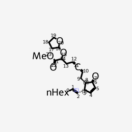 CCCCCC/C=C/[C@H]1C=CC(=O)[C@@H]1CC=C=CCC(OC1CCCO1)C(=O)OC